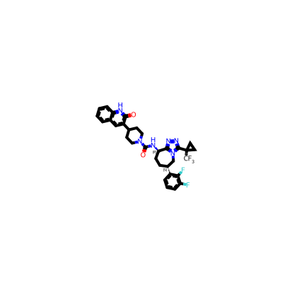 O=C(N[C@@H]1CC[C@@H](c2cccc(F)c2F)Cn2c1nnc2C1(C(F)(F)F)CC1)N1CCC(c2cc3ccccc3[nH]c2=O)CC1